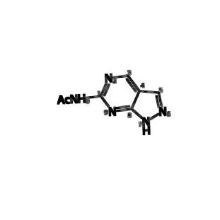 CC(=O)Nc1ncc2cn[nH]c2n1